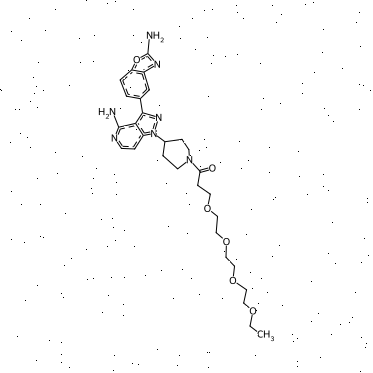 CCOCCOCCOCCOCCC(=O)N1CCC(n2nc(-c3ccc4oc(N)nc4c3)c3c(N)nccc32)CC1